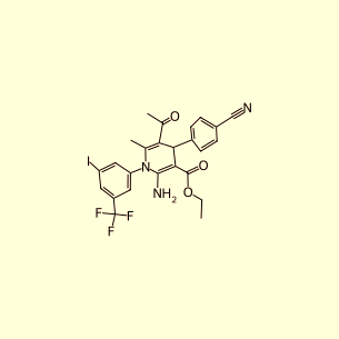 CCOC(=O)C1=C(N)N(c2cc(I)cc(C(F)(F)F)c2)C(C)=C(C(C)=O)C1c1ccc(C#N)cc1